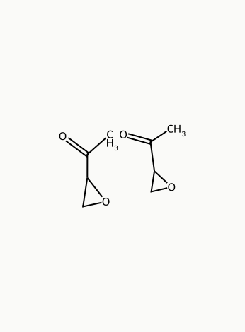 CC(=O)C1CO1.CC(=O)C1CO1